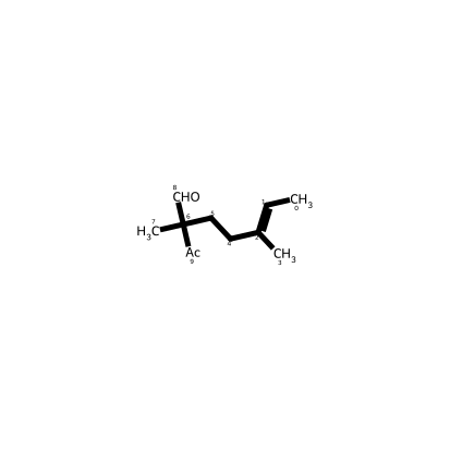 CC=C(C)CCC(C)(C=O)C(C)=O